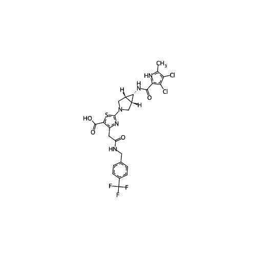 Cc1[nH]c(C(=O)N[C@@H]2[C@@H]3CN(c4nc(CC(=O)NCc5ccc(C(F)(F)F)cc5)c(C(=O)O)s4)C[C@@H]32)c(Cl)c1Cl